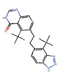 CC(C)(C)c1c(CCc2ccc3nc[nH]c(=O)c3c2C(C)(C)C)ccc2[nH]nnc12